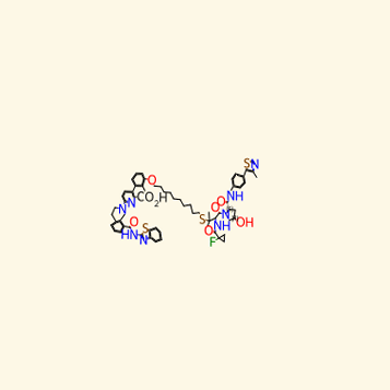 Cc1ncsc1-c1ccc(CNC(=O)[C@@H]2C[C@@H](O)CN2C(=O)C(NC(=O)C2(F)CC2)C(C)(C)SCCCCCCCCCCOc2cccc(-c3ccc(N4CCc5cccc(C(=O)Nc6nc7ccccc7s6)c5C4)nc3C(=O)O)c2C)cc1